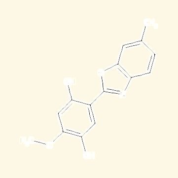 COc1cc(O)c(-c2nc3ccc(C)cc3o2)cc1O